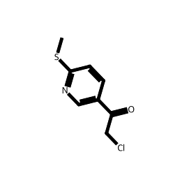 CSc1ccc(C(=O)CCl)cn1